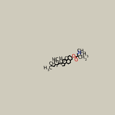 C#C[C@H](CCCC(C)C)[C@H]1CCC2C3CCC4C[C@@H](OC(=O)C(=C)CN(C)C)CC[C@]4(C)C3CC[C@@]21C